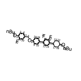 CCCCOc1ccc(COc2ccc(-c3ccc(C4CCC(OCCCC)CC4)c(F)c3F)cc2)cc1F